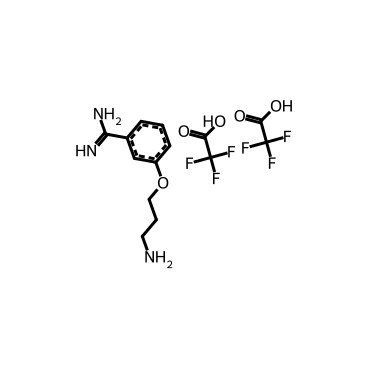 N=C(N)c1cccc(OCCCN)c1.O=C(O)C(F)(F)F.O=C(O)C(F)(F)F